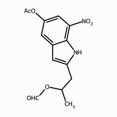 CC(=O)Oc1cc([N+](=O)[O-])c2[nH]c(CC(C)OC=O)cc2c1